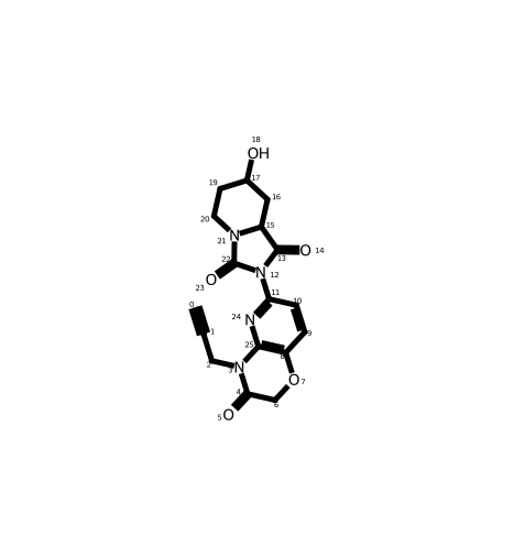 C#CCN1C(=O)COc2ccc(N3C(=O)C4CC(O)CCN4C3=O)nc21